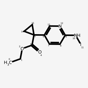 CCOC(=O)C1(c2ccc(NI)nc2)CC1